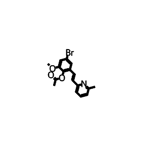 COc1cc(Br)cc(C=Cc2cccc(C)n2)c1OC(C)=O